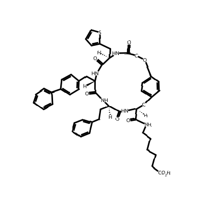 O=C(O)CCCCCNC(=O)[C@@H]1Cc2ccc(cc2)OCC(=O)N[C@H](Cc2cccs2)C(=O)N[C@@H](Cc2ccc(-c3ccccc3)cc2)C(=O)N[C@H](CCc2ccccc2)C(=O)N1